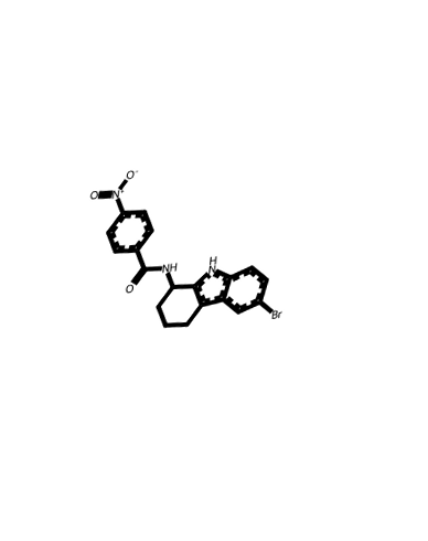 O=C(NC1CCCc2c1[nH]c1ccc(Br)cc21)c1ccc([N+](=O)[O-])cc1